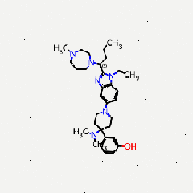 CCC[C@@H](c1nc2cc(N3CCC(c4cccc(O)c4)(N(C)C)CC3)ccc2n1CC)N1CCCN(C)CC1